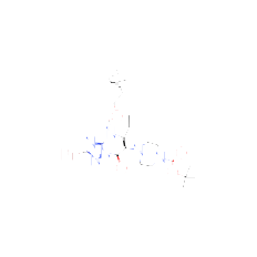 CCc1c(N2CCN(C(=O)OC(C)(C)C)CC2)c(=O)n2nc(Br)nc2n1COCC[Si](C)(C)C